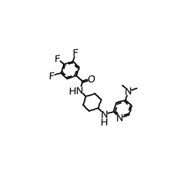 CN(C)c1ccnc(NC2CCC(NC(=O)c3cc(F)c(F)c(F)c3)CC2)c1